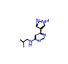 CC(C)CNc1cc(-c2cn[nH]c2)ncn1